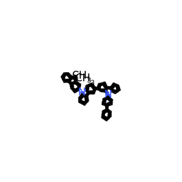 CC1(C)c2ccccc2-c2ccc(-n3c4ccccc4c4cc(-c5ccc6c7ccccc7n(-c7ccc(-c8ccccc8)cc7)c6c5)ccc43)cc21